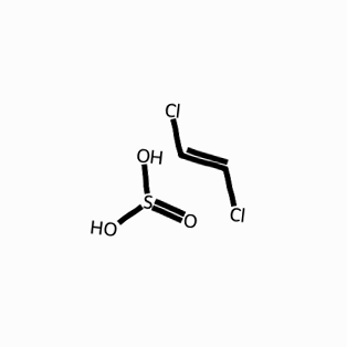 ClC=CCl.O=S(O)O